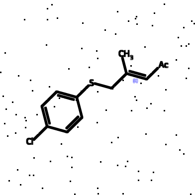 CC(=O)/C=C(\C)CSc1ccc(Cl)cc1